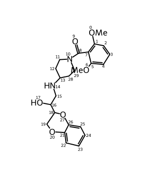 COc1cccc(OC)c1C(=O)N1CCC(NCC(O)C2COc3ccccc3O2)CC1